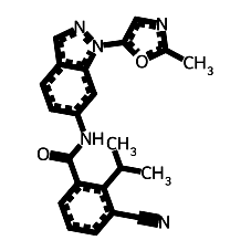 Cc1ncc(-n2ncc3ccc(NC(=O)c4cccc(C#N)c4C(C)C)cc32)o1